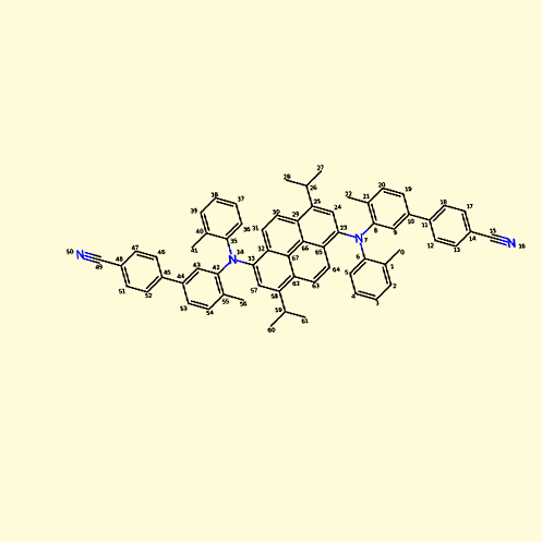 Cc1ccccc1N(c1cc(-c2ccc(C#N)cc2)ccc1C)c1cc(C(C)C)c2ccc3c(N(c4ccccc4C)c4cc(-c5ccc(C#N)cc5)ccc4C)cc(C(C)C)c4ccc1c2c43